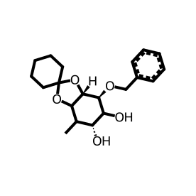 CC1C2OC3(CCCCC3)O[C@@H]2[C@@H](OCc2ccccc2)C(O)[C@@H]1O